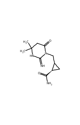 CC1(C)CC(=O)N(CC2C[C@H]2C(N)=O)C(=N)N1